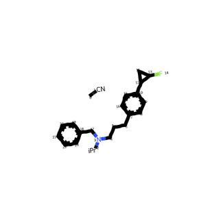 CC#N.CC(C)N(CCCc1ccc(C2CC2F)cc1)Cc1ccccc1